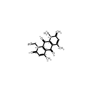 C=C1C=C(C)C2=C(C(=O)c3c(c(C)cc(=O)n3CC(C)C)C2=O)N1N